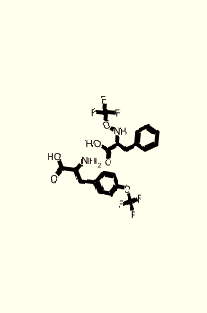 NC(Cc1ccc(OC(F)(F)F)cc1)C(=O)O.O=C(O)C(Cc1ccccc1)NOC(F)(F)F